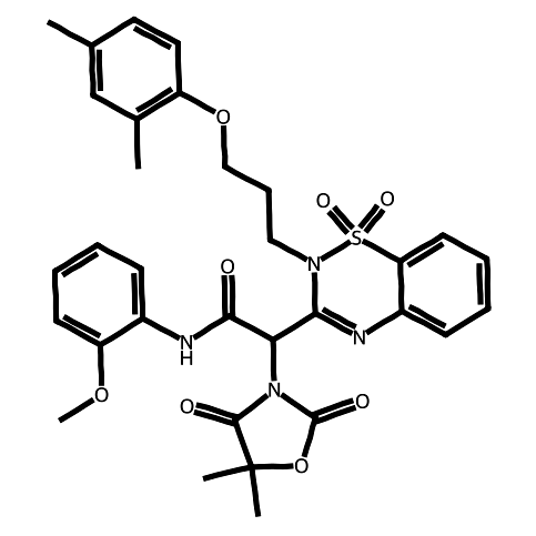 COc1ccccc1NC(=O)C(C1=Nc2ccccc2S(=O)(=O)N1CCCOc1ccc(C)cc1C)N1C(=O)OC(C)(C)C1=O